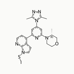 Cc1nnc(C)n1-c1cc(-c2ccnc3c2ccn3SI)nc(N2CCOC[C@H]2C)c1